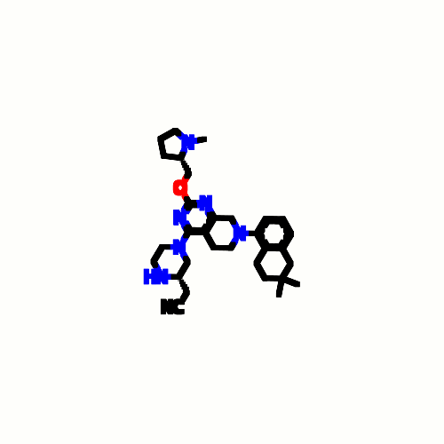 CN1CCC[C@H]1COc1nc2c(c(N3CCN[C@@H](CC#N)C3)n1)CCN(c1cccc3c1CCC(C)(C)C3)C2